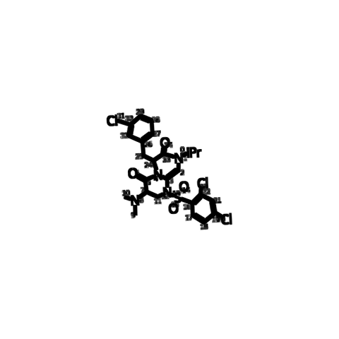 CC(C)N1C=C2N(C(=O)C(N(C)C)CN2S(=O)(=O)c2ccc(Cl)cc2Cl)C(Cc2cccc(Cl)c2)C1=O